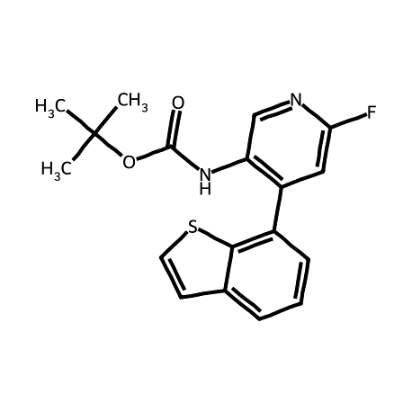 CC(C)(C)OC(=O)Nc1cnc(F)cc1-c1cccc2ccsc12